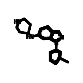 Cc1cccc(-n2ncc3ccc(NC4CCNCC4)cc32)c1